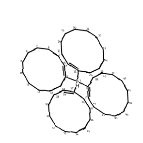 C1=C([PH](C2=CCCCCCCCCCC2)(C2=CCCCCCCCCCC2)C2=CCCCCCCCCCC2)CCCCCCCCCC1